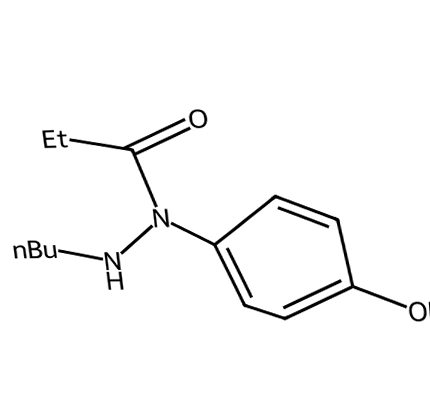 CCCCNN(C(=O)CC)c1ccc(O)cc1